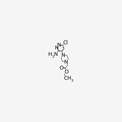 CCOC(=O)CN1CCN(c2cc(Cl)nnc2N)CC1